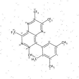 Cc1cc(C)c(C)c(-c2c3nc(C(F)(F)F)c(C(F)(F)F)nc3c(C(F)(F)F)n[n+]2C)c1